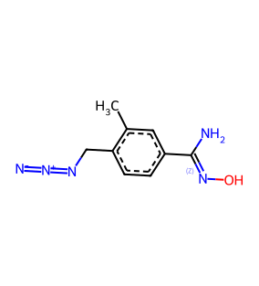 Cc1cc(/C(N)=N/O)ccc1CN=[N+]=[N-]